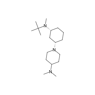 CN(C)C1CCN([C@H]2CCC[C@@H](N(C)C(C)(C)C)C2)CC1